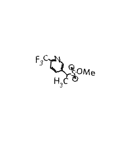 COS(=O)(=O)C(C)c1ccc(C(F)(F)F)nc1